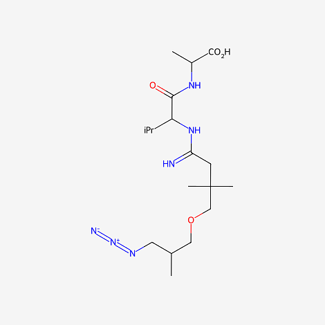 CC(CN=[N+]=[N-])COCC(C)(C)CC(=N)NC(C(=O)NC(C)C(=O)O)C(C)C